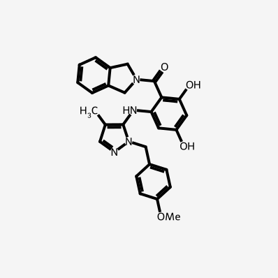 COc1ccc(Cn2ncc(C)c2Nc2cc(O)cc(O)c2C(=O)N2Cc3ccccc3C2)cc1